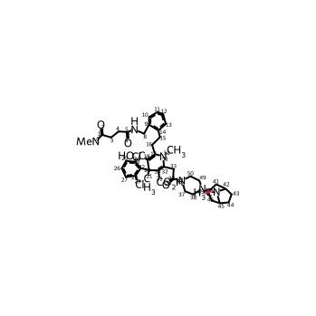 CNC(=O)CCC(=O)NCc1ccccc1CCC1=C(C(=O)O)C(C)(c2c(Cl)cccc2Cl)C(C(=O)O)=C(CC(=O)N2CCN(C3CC4CCC(C3)N4C)CC2)N1C